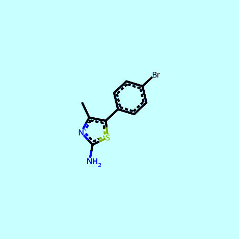 Cc1nc(N)sc1-c1ccc(Br)cc1